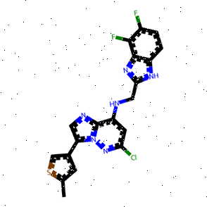 Cc1cc(-c2cnc3c(NCc4nc5c(F)c(F)ccc5[nH]4)cc(Cl)nn23)cs1